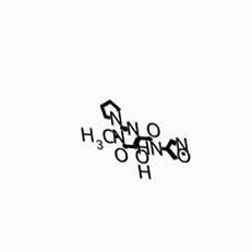 Cn1c(N2CCCC2)nc(C(=O)Nc2cnoc2)c(O)c1=O